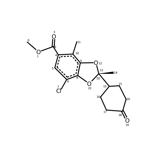 COC(=O)c1cc(Cl)c2c(c1C)O[C@](C)(C1CCC(=O)CC1)O2